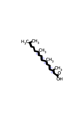 CC(C)=CCC/C(C)=C/C=C/C(C)=C/C=C/C(C)=C/C(=O)O